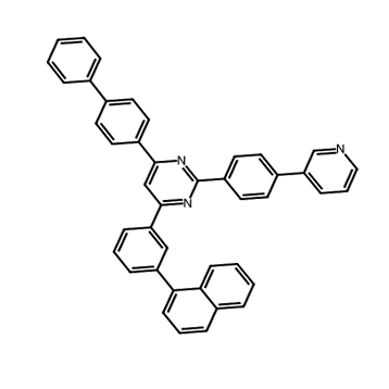 c1ccc(-c2ccc(-c3cc(-c4cccc(-c5cccc6ccccc56)c4)nc(-c4ccc(-c5cccnc5)cc4)n3)cc2)cc1